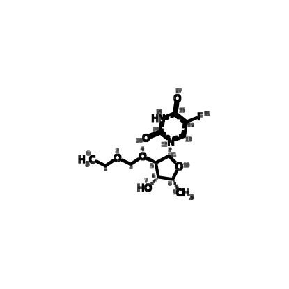 CCOCO[C@@H]1[C@@H](O)[C@@H](C)O[C@H]1n1cc(F)c(=O)[nH]c1=O